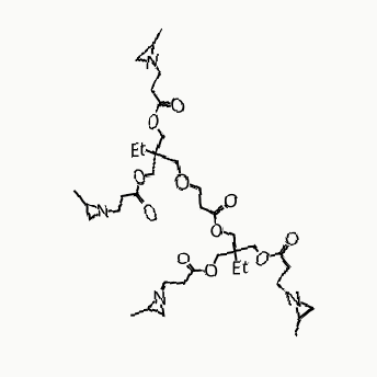 CCC(COCCC(=O)OCC(CC)(COC(=O)CCN1CC1C)COC(=O)CCN1CC1C)(COC(=O)CCN1CC1C)COC(=O)CCN1CC1C